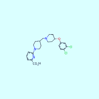 O=C(O)c1cccc(N2CCC(CN3CCC(Oc4ccc(Cl)c(Cl)c4)CC3)CC2)n1